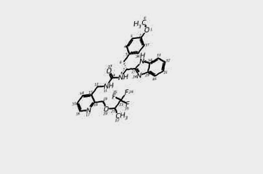 COc1ccc(C[C@@H](NC(=O)NCc2cccnc2COC(C)C(F)(F)F)c2nc3ccccc3[nH]2)cc1